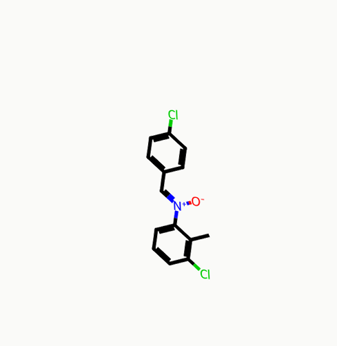 Cc1c(Cl)cccc1[N+]([O-])=Cc1ccc(Cl)cc1